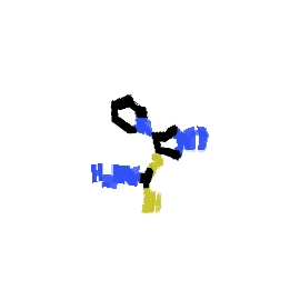 NC(=S)S.c1cc[nH]c1.c1ccncc1